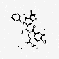 CCC(c1nc2onc(C)c2c(=O)n1Cc1ccccc1)N(CCC(N)=O)C(=O)c1ccc(Cl)c(Cl)c1